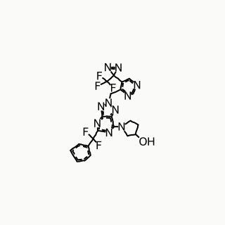 OC1CCN(c2nc(C(F)(F)c3ccccc3)nc3nn(Cc4ncncc4C4(C(F)(F)F)N=N4)nc23)C1